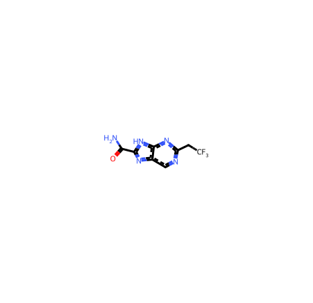 NC(=O)c1nc2cnc(CC(F)(F)F)nc2[nH]1